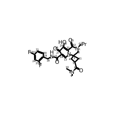 CC(C)N1CC2(CC(C(=O)N(C)C)C2)n2cc(C(=O)NCc3ccc(F)cc3F)c(=O)c(O)c2C1=O